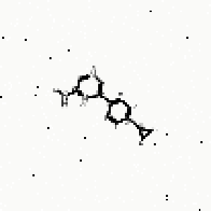 CNc1cncc(-c2ccc(C3CC3)cc2)n1